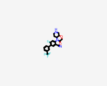 N#Cc1cc(-c2cccc(C(F)(F)F)c2)c(F)cc1N1C(=O)COC2CNCCC21